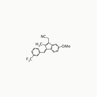 COc1ccc2c(c1)C(CC#N)=C(C)C2=Cc1cccc(C(F)(F)F)c1